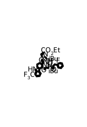 CCOC(=O)c1csc([C@H](NC(=O)[C@@]2(NC(=O)[C@@H](NC(=O)Cc3ccccc3F)[C@@H](C)CC)CCc3[nH]c4c(C(F)(F)F)cccc4c3C2)[C@@H](C)CC)n1